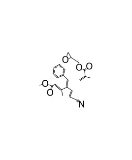 C=C(C)C(=O)OCC1CO1.COC(=O)C=C(C)C(C=CC#N)=Cc1ccccc1